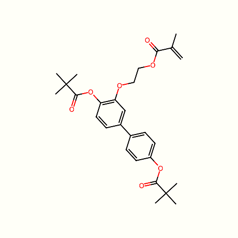 C=C(C)C(=O)OCCOc1cc(-c2ccc(OC(=O)C(C)(C)C)cc2)ccc1OC(=O)C(C)(C)C